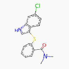 CN(C)C(=O)c1ccccc1Sc1c[nH]c2cc(Cl)ccc12